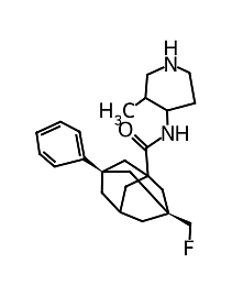 CC1CNCCC1NC(=O)C12CC3C[C@@](CF)(C1)C[C@](c1ccccc1)(C3)C2